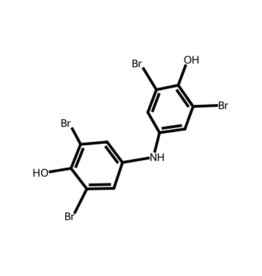 Oc1c(Br)cc(Nc2cc(Br)c(O)c(Br)c2)cc1Br